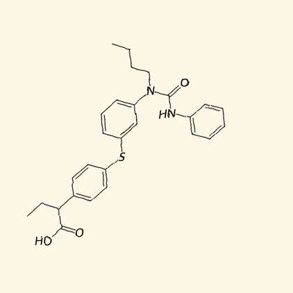 CCCCN(C(=O)Nc1ccccc1)c1cccc(Sc2ccc(C(CC)C(=O)O)cc2)c1